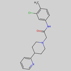 Cc1ccc(NC(=O)CN2CCC(c3ccccn3)CC2)cc1Cl